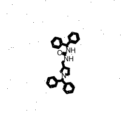 O=C(NCC1CCN(C(c2ccccc2)c2ccccc2)C1)NC(c1ccccc1)c1ccccc1